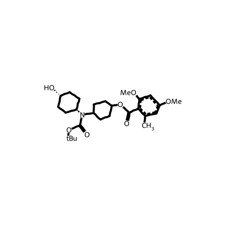 COc1cc(C)c(C(=O)OC2CCC(N(C(=O)OC(C)(C)C)[C@H]3CC[C@@H](O)CC3)CC2)c(OC)c1